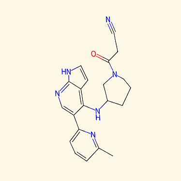 Cc1cccc(-c2cnc3[nH]ccc3c2NC2CCCN(C(=O)CC#N)C2)n1